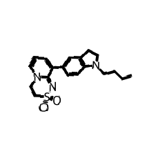 CCCCN1CCc2cc(C3=CC=CN4CCS(=O)(=O)N=C34)ccc21